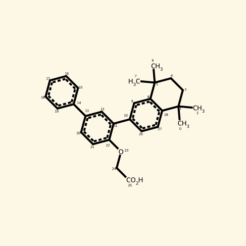 CC1(C)CCC(C)(C)c2cc(-c3cc(-c4ccccc4)ccc3OCC(=O)O)ccc21